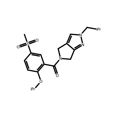 CC(C)Cn1cc2c(n1)CN(C(=O)c1cc(S(C)(=O)=O)ccc1OC(C)C)C2